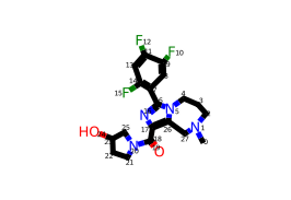 CN1CCCn2c(-c3cc(F)c(F)cc3F)nc(C(=O)N3CCC(O)C3)c2C1